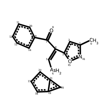 Cc1cc(C(=C[AsH2])C(=O)c2ccccc2)on1.c1cc2cc-2c1